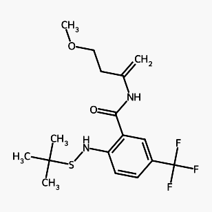 C=C(CCOC)NC(=O)c1cc(C(F)(F)F)ccc1NSC(C)(C)C